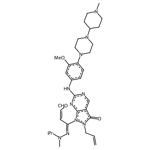 C=CCn1c(=O)c2cnc(Nc3ccc(N4CCN(C5CCN(C)CC5)CC4)c(OC)c3)nc2n1C(/C=C\C=O)=N/N(C)C(C)C